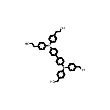 OCCc1ccc(N(c2ccc(CCO)cc2)c2ccc(-c3ccc(N(c4ccc(CO)cc4)c4ccc(CO)cc4)cc3)cc2)cc1